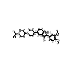 COc1ccc(-c2[nH]c3ccc(C4CCN(C5CCN(C(C)=O)CC5)CC4)cc3c2C)cc1OC